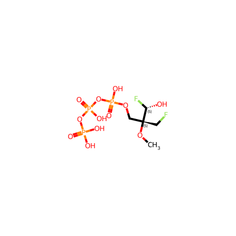 CO[C@](CF)(COP(=O)(O)OP(=O)(O)OP(=O)(O)O)[C@@H](O)F